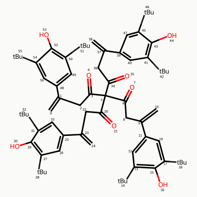 C=C(CC(=O)C(C(=O)CC(=C)c1cc(C(C)(C)C)c(O)c(C(C)(C)C)c1)(C(=O)CC(=C)c1cc(C(C)(C)C)c(O)c(C(C)(C)C)c1)C(=O)CC(=C)c1cc(C(C)(C)C)c(O)c(C(C)(C)C)c1)c1cc(C(C)(C)C)c(O)c(C(C)(C)C)c1